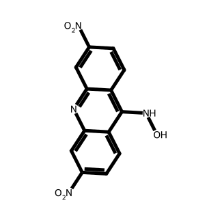 O=[N+]([O-])c1ccc2c(NO)c3ccc([N+](=O)[O-])cc3nc2c1